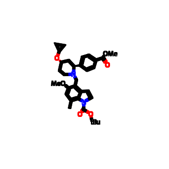 COC(=O)c1ccc([C@@H]2C[C@@H](OC3CC3)CCN2Cc2c(OC)cc(C)c3c2ccn3C(=O)OC(C)(C)C)cc1